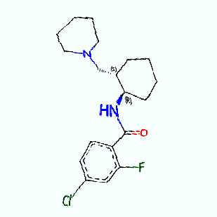 O=C(N[C@@H]1CCCC[C@H]1CN1CCCCC1)c1ccc(Cl)cc1F